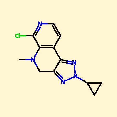 CN1Cc2nn(C3CC3)nc2-c2ccnc(Cl)c21